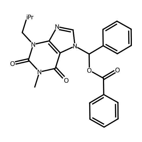 CC(C)Cn1c(=O)n(C)c(=O)c2c1ncn2C(OC(=O)c1ccccc1)c1ccccc1